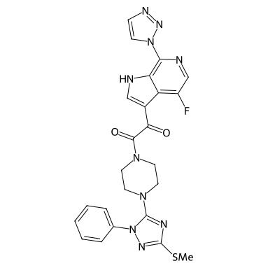 CSc1nc(N2CCN(C(=O)C(=O)c3c[nH]c4c(-n5ccnn5)ncc(F)c34)CC2)n(-c2ccccc2)n1